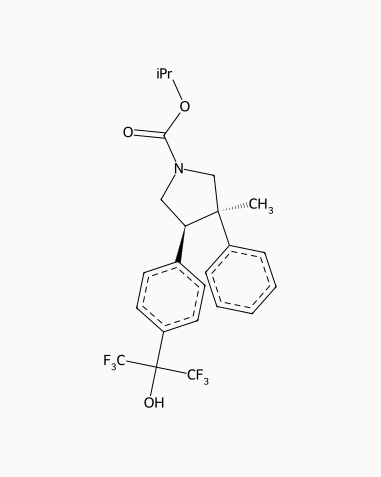 CC(C)OC(=O)N1C[C@H](c2ccc(C(O)(C(F)(F)F)C(F)(F)F)cc2)[C@](C)(c2ccccc2)C1